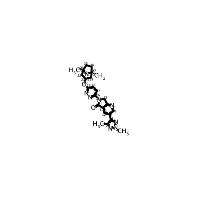 Cc1nn(C)nc1-c1cnc2c(c1)C(=O)N(c1ccc(OC3C[C@]4(C)CC[C@](C)(C3)N4)nn1)C2